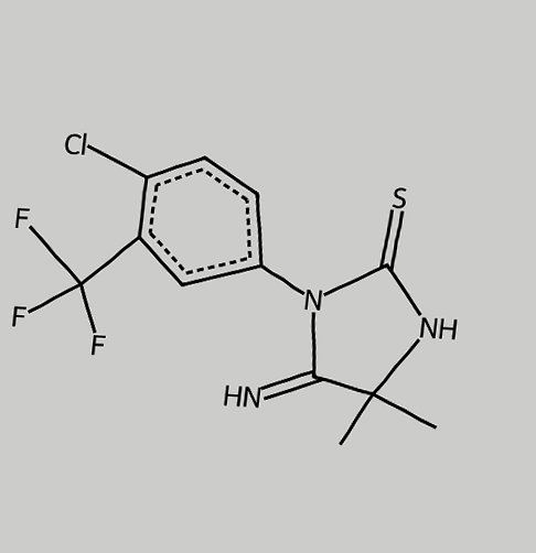 CC1(C)NC(=S)N(c2ccc(Cl)c(C(F)(F)F)c2)C1=N